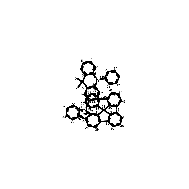 CC1(C)c2ccccc2N(c2ccccc2)c2ccc(-n3c4ccccc4c4ccc5c(c43)C3(c4ccccc4-c4ccccc43)c3ccccc3-5)cc21